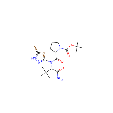 CC(C)(C)OC(=O)N1CCC[C@H]1C(=O)N(c1n[nH]c(=S)s1)[C@H](C(N)=O)C(C)(C)C